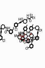 CCC(CC)C(=O)N[C@H]1CCC[C@@](O)(C#Cc2cccc(Cl)c2)C1.COc1ccc(OC)c(C(=O)C(C(C(N)=O)N(C(=O)c2ccc(C)c([C@H]3CCC[C@@](O)(C#Cc4cccc(Cl)c4)C3)c2)c2cc(C)ccc2C(=O)N[C@H]2CCC[C@@](O)(C#Cc3cccc(Cl)c3)C2)[C@H]2CCC[C@@](O)(C#Cc3cccc(Cl)c3)C2)c1.O=C(N[C@H]1CCC[C@@](O)(C#Cc2cccc(Cl)c2)C1)c1cccc(F)c1